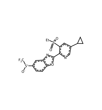 CCS(=O)(=O)c1cc(C2CC2)cnc1-c1nc2cc([S+]([O-])C(F)(F)F)ccc2o1